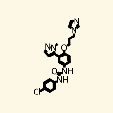 Cn1nccc1-c1cc(NC(=O)Nc2ccc(Cl)cc2)ccc1OCCCn1ccnc1